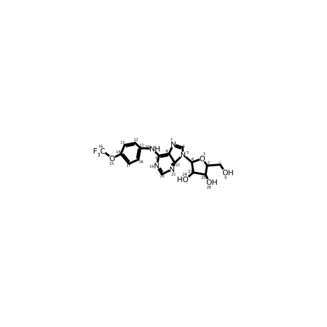 OCC1OC(n2cnc3c(Nc4ccc(OC(F)(F)F)cc4)ncnc32)C(O)C1O